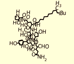 CCC(C)CC(C)CCCCCCCCC(=O)NC(C[C@@H](O)[C@@H](O)NC(=O)C1NCC[C@@H]1O)C(=O)NC(C(=O)N1C[C@H](O)CC1C(=O)NC(C(=O)NC(C=O)[C@H](O)CC(N)=O)[C@H](O)[C@@H](O)c1ccc(O)cc1)[C@@H](C)O